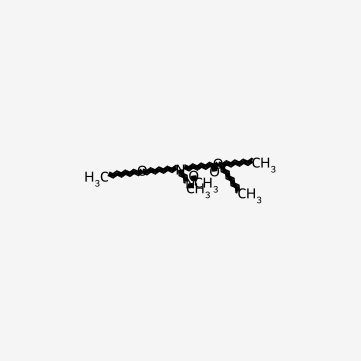 CCCCCCCCCOCCCCCCCCN(CCCCCCCC(=O)OC(CCCCCCCC)CCCCCCCC)CCCN(C)C(C)=O